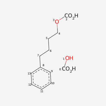 O=C(O)O.O=C(O)OCCCCc1ccccc1